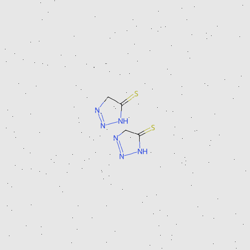 S=C1CN=NN1.S=C1CN=NN1